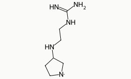 N=C(N)NCCNC1CC[N]C1